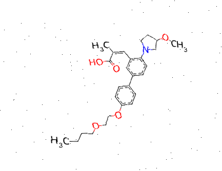 CCCCOCCOc1ccc(-c2ccc(N3CCC(OC)C3)c(C=C(C)C(=O)O)c2)cc1